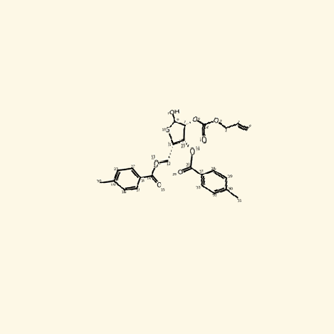 C=CCOC(=O)O[C@H]1C(O)S[C@@H](COC(=O)c2ccc(C)cc2)[C@H]1OC(=O)c1ccc(C)cc1